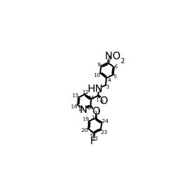 O=C(NCc1ccc([N+](=O)[O-])cc1)c1cccnc1Oc1ccc(F)cc1